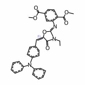 CCN1C(=O)/C(=C\c2ccc(N(c3ccccc3)c3ccccc3)cc2)OC1=Nc1cc(C(=O)OC)ccc1C(=O)OC